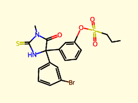 CCCS(=O)(=O)Oc1cccc(C2(c3cccc(Br)c3)NC(=S)N(C)C2=O)c1